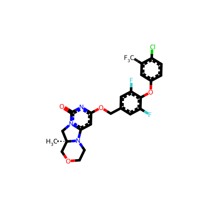 C[C@@]12COCCN1c1cc(OCc3cc(F)c(Oc4ccc(Cl)c(C(F)(F)F)c4)c(F)c3)nc(=O)n1C2